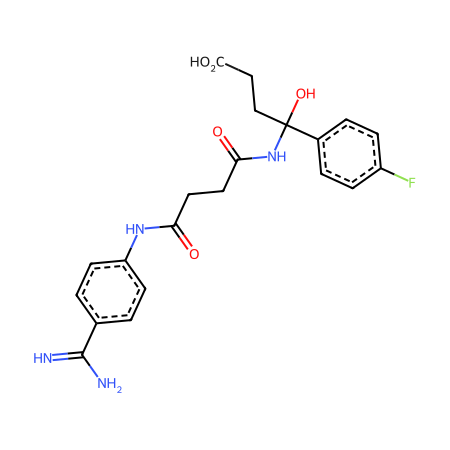 N=C(N)c1ccc(NC(=O)CCC(=O)NC(O)(CCC(=O)O)c2ccc(F)cc2)cc1